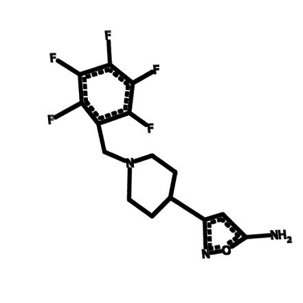 Nc1cc(C2CCN(Cc3c(F)c(F)c(F)c(F)c3F)CC2)no1